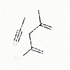 CC#N.CC(=O)CC(=O)O